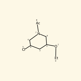 CCOC1CC(Cl)CN(C(C)=O)C1